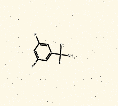 [CH2]C(N)(CC)c1cc(F)cc(F)c1